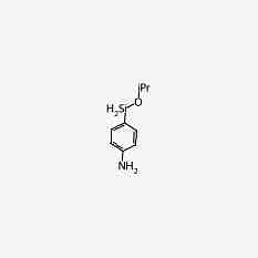 CC(C)O[SiH2]c1ccc(N)cc1